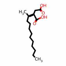 CCCCCCCCCCC(C)=C(CC(=O)O)C(=O)O